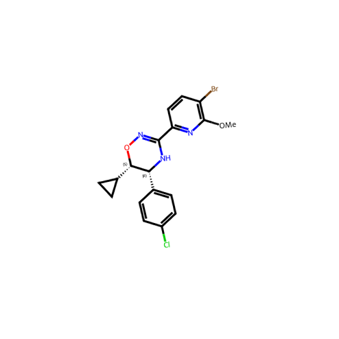 COc1nc(C2=NO[C@@H](C3CC3)[C@@H](c3ccc(Cl)cc3)N2)ccc1Br